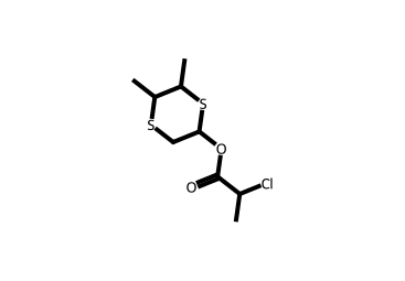 CC(Cl)C(=O)OC1CSC(C)C(C)S1